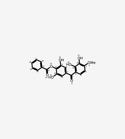 COc1ccc(C(=O)c2cc(O)c(OC(=O)c3ccccc3)c(O)c2)c(O)c1O